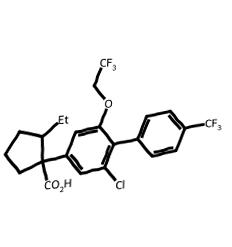 CCC1CCCC1(C(=O)O)c1cc(Cl)c(-c2ccc(C(F)(F)F)cc2)c(OCC(F)(F)F)c1